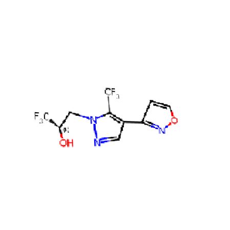 O[C@H](Cn1ncc(-c2ccon2)c1C(F)(F)F)C(F)(F)F